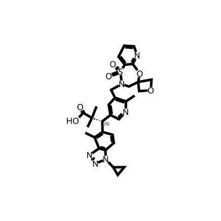 Cc1ncc([C@H](c2ccc3c(nnn3C3CC3)c2C)C(C)(C)C(=O)O)cc1CN1CC2(COC2)Oc2ncccc2S1(=O)=O